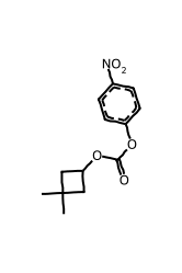 CC1(C)CC(OC(=O)Oc2ccc([N+](=O)[O-])cc2)C1